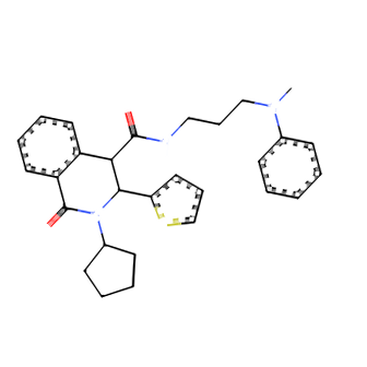 CCN(CCCNC(=O)C1c2ccccc2C(=O)N(C2CCCC2)C1c1cccs1)c1ccccc1